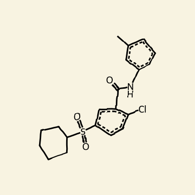 Cc1cccc(NC(=O)c2cc(S(=O)(=O)C3CCCCC3)ccc2Cl)c1